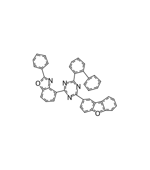 c1ccc(-c2nc3c(-c4nc(-c5ccc6oc7ccccc7c6c5)nc(-c5ccccc5-c5ccccc5)n4)cccc3o2)cc1